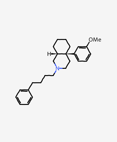 COc1cccc([C@]23CCCC[C@H]2CN(CCCCc2ccccc2)CC3)c1